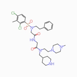 Cc1c(Cl)ccc(S(=O)(=O)N(CCc2ccccc2)CC(=O)NCC(=O)N(CCN2CCN(C)CC2)CC2CCNCC2)c1Cl